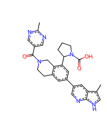 Cc1ncc(C(=O)N2CCc3cc(-c4cnc5[nH]cc(C)c5c4)cc(C4CCCN4C(=O)O)c3C2)cn1